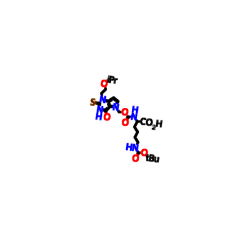 CC(C)OCCn1c(=S)[nH]c(=O)c2c1ccn2COC(=O)NC(CCCCNC(=O)OC(C)(C)C)C(=O)O